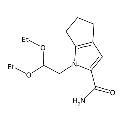 CCOC(Cn1c(C(N)=O)cc2c1CCC2)OCC